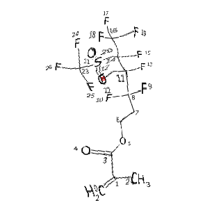 C=C(C)C(=O)OCCC(F)(F)C(F)(F)C(F)(C(F)(F)F)S(=O)(=O)C(F)(F)F